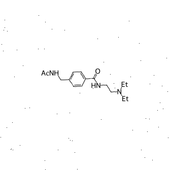 CCN(CC)CCNC(=O)c1ccc(CNC(C)=O)cc1